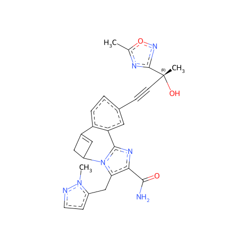 Cc1nc([C@](C)(O)C#Cc2ccc3c(c2)-c2nc(C(N)=O)c(Cc4ccnn4C)n2C2C=C3C2)no1